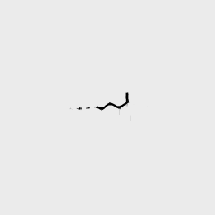 C[C@H](C(=O)O)[C@H](O)CCBPSO